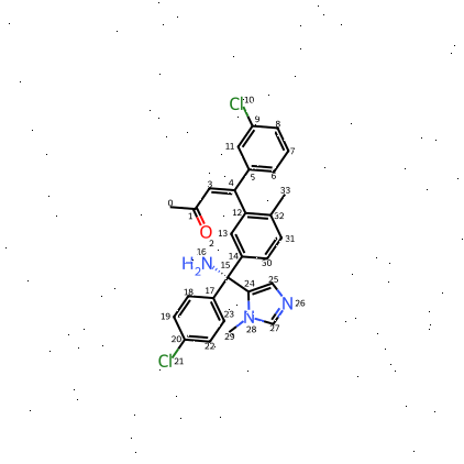 CC(=O)/C=C(/c1cccc(Cl)c1)c1cc([C@](N)(c2ccc(Cl)cc2)c2cncn2C)ccc1C